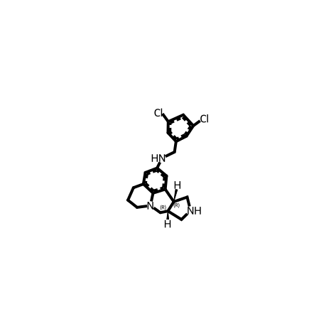 Clc1cc(Cl)cc(CNc2cc3c4c(c2)[C@@H]2CNC[C@@H]2CN4CCC3)c1